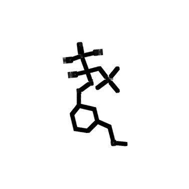 COCC1CCCC(SSC(O)(C[N+](C)(C)C)P(=O)(O)O)C1